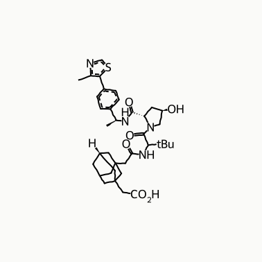 Cc1ncsc1-c1ccc([C@H](C)NC(=O)[C@@H]2C[C@@H](O)CN2C(=O)C(NC(=O)CC23CC4C[C@@H](CC(CC(=O)O)(C4)C2)C3)C(C)(C)C)cc1